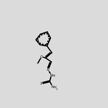 COC(C=NNC(N)=S)=Cc1ccccc1